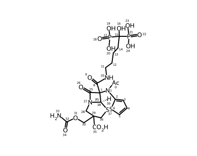 CC(=O)N(c1cccs1)C1(C(=O)NCCCCC(O)(P(=O)(O)O)P(=O)(O)O)C(=O)N2CC(COC(N)=O)(C(=O)O)CS[C@@H]21